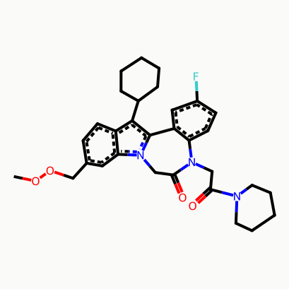 COOCc1ccc2c(C3CCCCC3)c3n(c2c1)CC(=O)N(CC(=O)N1CCCCC1)c1ccc(F)cc1-3